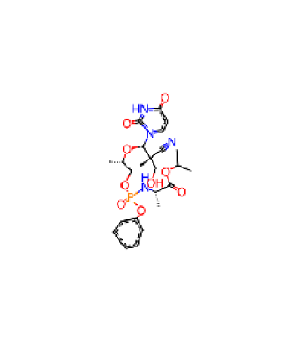 CC(C)OC(=O)[C@H](C)NP(=O)(OC[C@H](C)O[C@@H](n1ccc(=O)[nH]c1=O)[C@](C)(C#N)CO)Oc1ccccc1